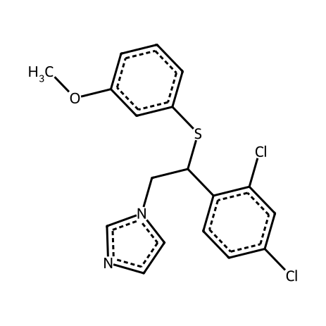 COc1cccc(SC(Cn2ccnc2)c2ccc(Cl)cc2Cl)c1